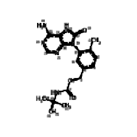 Cc1ccc(COC(=O)NC(C)(C)C)cc1-n1c(=O)[nH]c2c(N)ncnc21